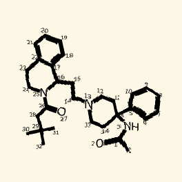 CC(=O)NC1(c2ccccc2)CCN(CCC2c3ccccc3CCN2C(=O)CC(C)(C)C)CC1